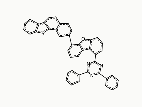 c1ccc(-c2nc(-c3ccccc3)nc(-c3cccc4oc5c(-c6ccc7ccc8c9ccccc9sc8c7c6)cccc5c34)n2)cc1